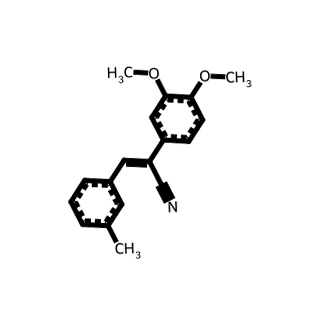 COc1ccc(C(C#N)=Cc2cccc(C)c2)cc1OC